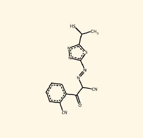 CC(S)c1nnc(/N=N/C(C#N)C(=O)c2ccccc2C#N)s1